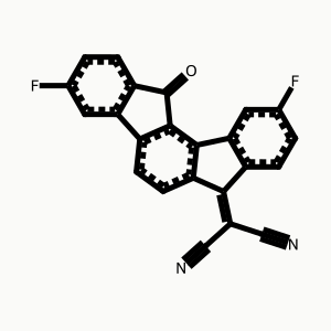 N#CC(C#N)=C1c2ccc(F)cc2-c2c1ccc1c2C(=O)c2ccc(F)cc2-1